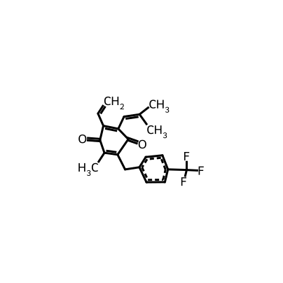 C=CC1=C(C=C(C)C)C(=O)C(Cc2ccc(C(F)(F)F)cc2)=C(C)C1=O